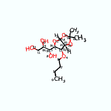 CCCCO[C@H]1[C@@H]([C@H](O)[C@H](O)CO)O[C@@H]2OC(C)(C)O[C@@H]21